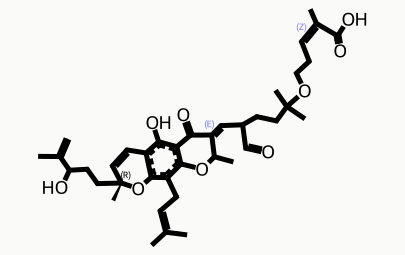 C=C(C)C(O)CC[C@]1(C)C=Cc2c(O)c3c(c(CC=C(C)C)c2O1)OC(C)/C(=C\C(C=O)CCC(C)(C)OCC/C=C(/C)C(=O)O)C3=O